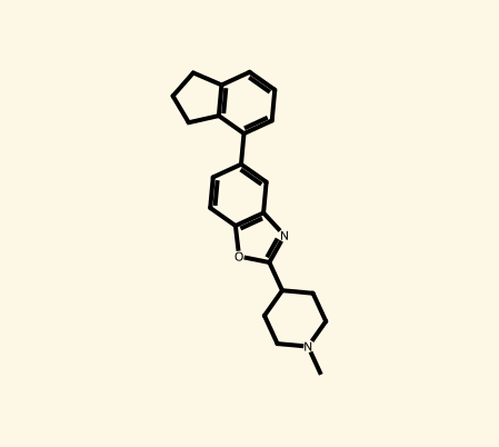 CN1CCC(c2nc3cc(-c4cccc5c4CCC5)ccc3o2)CC1